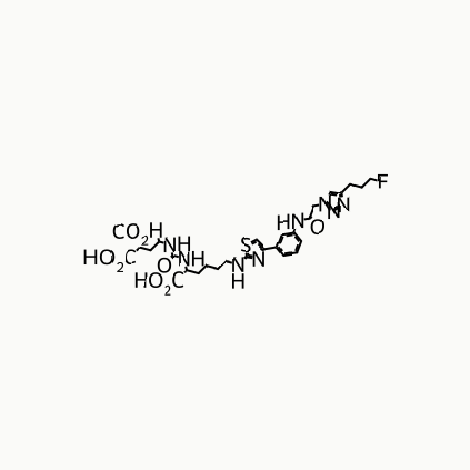 O=C(O)CCC(NC(=O)N[C@@H](CCCCNc1nc(-c2cccc(NC(=O)Cn3cc(CCCF)nn3)c2)cs1)C(=O)O)C(=O)O